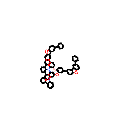 c1ccc(-c2ccc3oc4ccc(-c5ccc6c(c5)Oc5cc(-n7c8ccccc8c8ccccc87)cc7c5B6c5ccc(-c6ccc8oc9ccc(-c%10ccccc%10)cc9c8c6)cc5N7c5c(-c6ccccc6)cccc5-c5ccccc5)cc4c3c2)cc1